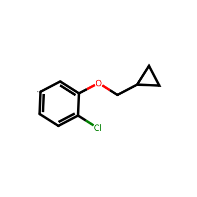 Clc1cc[c]cc1OCC1CC1